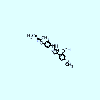 C=C/C=C(\C)Oc1ccc(Nc2nc(-c3ccc(OC)cc3OC)cs2)cc1